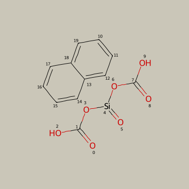 O=C(O)O[Si](=O)OC(=O)O.c1ccc2ccccc2c1